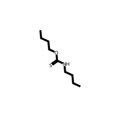 CCCCNC(=S)OCCCC